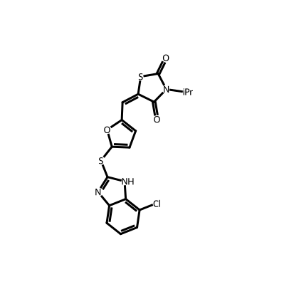 CC(C)N1C(=O)SC(=Cc2ccc(Sc3nc4cccc(Cl)c4[nH]3)o2)C1=O